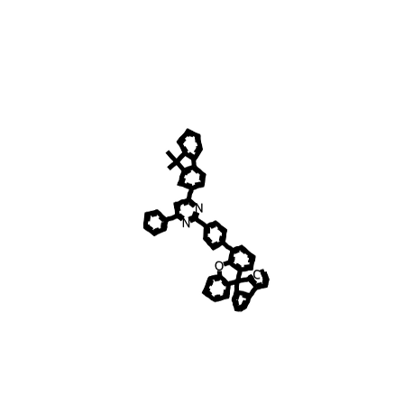 CC1(C)c2ccccc2-c2ccc(-c3cc(-c4ccccc4)nc(-c4ccc(-c5cccc6c5Oc5ccccc5C65c6ccccc6-c6ccccc65)cc4)n3)cc21